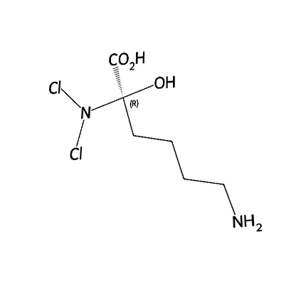 NCCCC[C@@](O)(C(=O)O)N(Cl)Cl